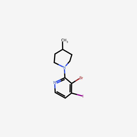 CC1CCN(c2nccc(I)c2Br)CC1